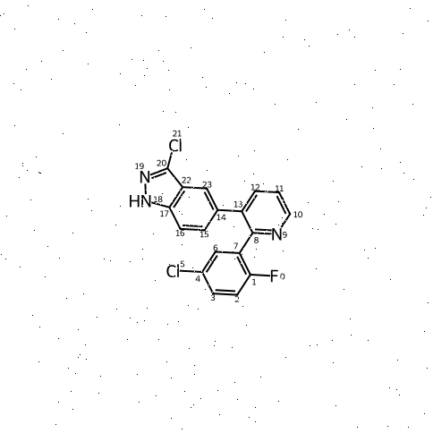 Fc1ccc(Cl)cc1-c1ncccc1-c1ccc2[nH]nc(Cl)c2c1